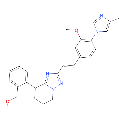 COCc1ccccc1C1CCCn2nc(C=Cc3ccc(-n4cnc(C)c4)c(OC)c3)nc21